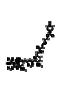 CO[C@H](C(C)OC(C)(C)C[C@H](C)/C=C/C=C(\C)[C@H]1O[C@@H](CNC(=O)CCOCCOC(=O)N2CCNCC2)CC[C@@H]1C)[C@@H](C)O